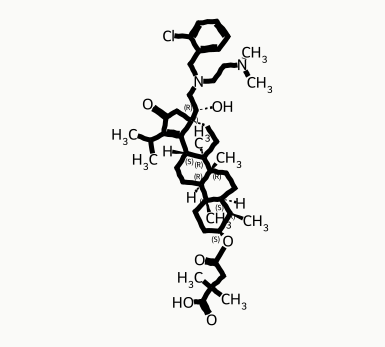 CC(C)C1=C2[C@H]3CC[C@@H]4[C@@]5(C)CC[C@H](OC(=O)CC(C)(C)C(=O)O)[C@H](C)[C@@H]5CC[C@@]4(C)[C@]3(C)CC[C@@]2([C@@H](O)CN(CCN(C)C)Cc2ccccc2Cl)CC1=O